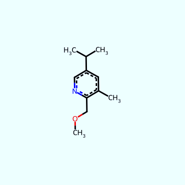 COCc1ncc(C(C)C)cc1C